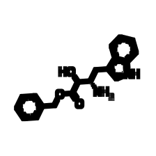 N[C@@H](Cc1c[nH]c2ccccc12)C(O)C(=O)OCc1ccccc1